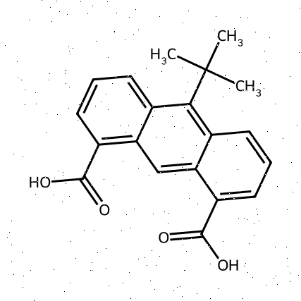 CC(C)(C)c1c2cccc(C(=O)O)c2cc2c(C(=O)O)cccc12